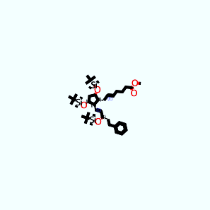 COC(=O)CCC/C=C/C[C@H]1C(O[Si](C)(C)C(C)(C)C)C[C@@H](O[Si](C)(C)C(C)(C)C)[C@@H]1/C=C/[C@H](CCc1ccccc1)O[Si](C)(C)C(C)(C)C